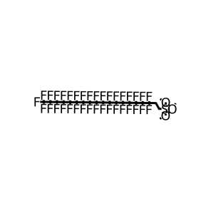 CO[Si](CCC(F)(F)C(F)(F)C(F)(F)C(F)(F)C(F)(F)C(F)(F)C(F)(F)C(F)(F)C(F)(F)C(F)(F)C(F)(F)C(F)(F)C(F)(F)C(F)(F)C(F)(F)C(F)(F)C(F)(F)F)(OC)OC